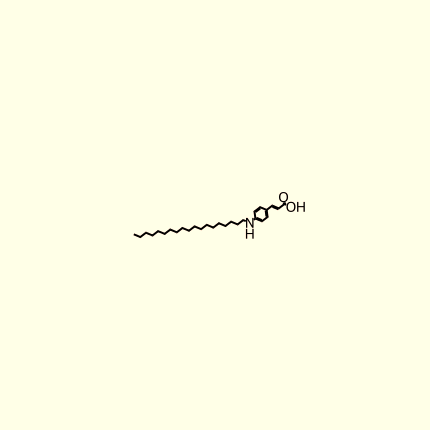 CCCCCCCCCCCCCCCCCCCNc1ccc(/C=C/C(=O)O)cc1